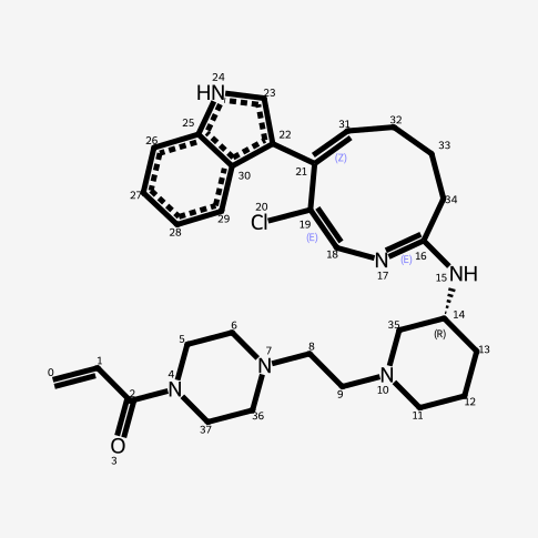 C=CC(=O)N1CCN(CCN2CCC[C@@H](N/C3=N/C=C(Cl)\C(c4c[nH]c5ccccc45)=C/CCC3)C2)CC1